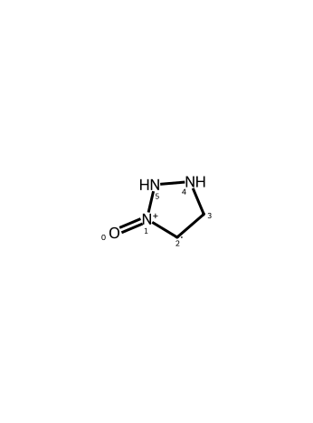 O=[N+]1[CH]CNN1